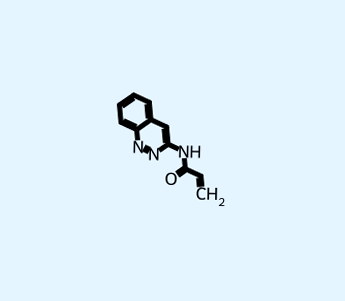 C=CC(=O)Nc1cc2ccccc2nn1